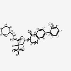 CC(CCn1cnc2cc(-c3ccccc3F)ccc2c1=O)(C(=O)NOC1CCCCO1)S(C)(=O)=O